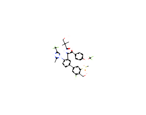 Cc1nc(C(F)(F)F)cn1-c1ccc(-c2cc(F)c(CO)c(S(C)(=O)=O)c2)cc1-c1nc(C(C)(C)CO)oc1-c1ccc(OC(F)(F)F)cc1